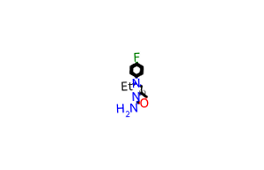 CCN(C[C@H]1COC(N)=N1)c1ccc(F)cc1